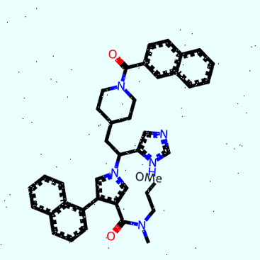 COCCN(C)C(=O)c1cn(C(CC2CCN(C(=O)c3ccc4ccccc4c3)CC2)c2cnc[nH]2)cc1-c1cccc2ccccc12